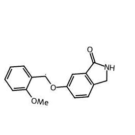 COc1ccccc1[CH]Oc1ccc2c(c1)C(=O)NC2